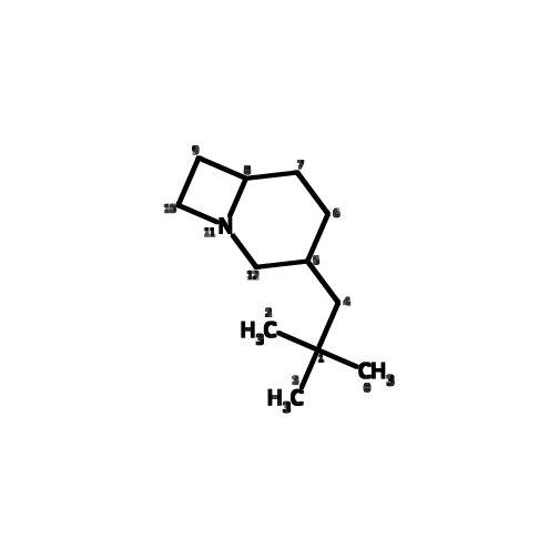 CC(C)(C)CC1CCC2CCN2C1